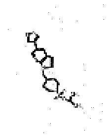 CC(C)CS(=O)(=O)N1CCC(Cn2ccc3cc(-c4cn[nH]c4)cnc32)CC1